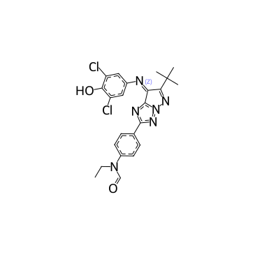 CCN(C=O)c1ccc(-c2nc3n(n2)N=C(C(C)(C)C)/C3=N/c2cc(Cl)c(O)c(Cl)c2)cc1